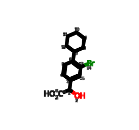 O=C(O)C(O)c1ccc(C2CCCCC2)c(Br)c1